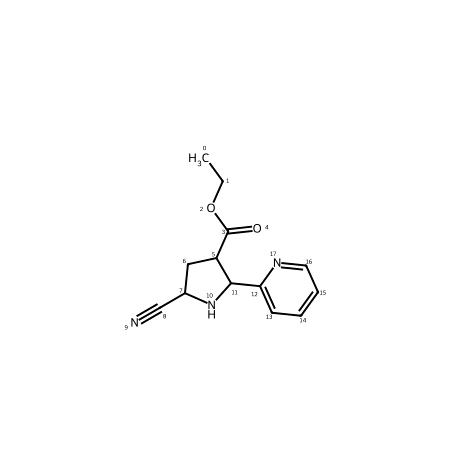 CCOC(=O)C1CC(C#N)NC1c1ccccn1